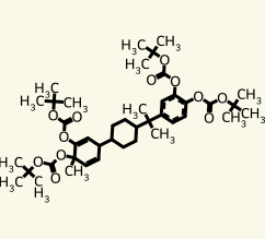 CC(C)(C)OC(=O)OC1=CC(C2CCC(C(C)(C)c3ccc(OC(=O)OC(C)(C)C)c(OC(=O)OC(C)(C)C)c3)CC2)C=CC1(C)OC(=O)OC(C)(C)C